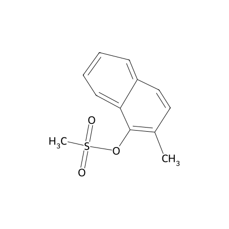 Cc1ccc2ccccc2c1OS(C)(=O)=O